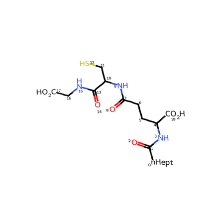 CCCCCCCC(=O)NC(CCC(=O)NC(CS)C(=O)NCC(=O)O)C(=O)O